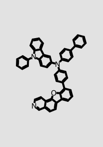 c1ccc(-c2ccc(N(c3ccc(-c4cccc5c4oc4c6ccncc6ccc54)cc3)c3ccc4c(c3)c3ccccc3n4-c3ccccc3)cc2)cc1